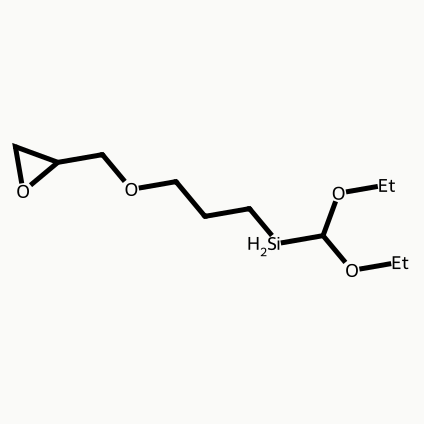 CCOC(OCC)[SiH2]CCCOCC1CO1